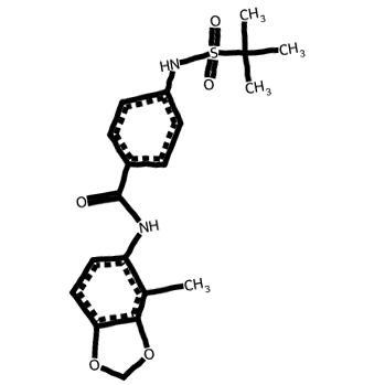 Cc1c(NC(=O)c2ccc(NS(=O)(=O)C(C)(C)C)cc2)ccc2c1OCO2